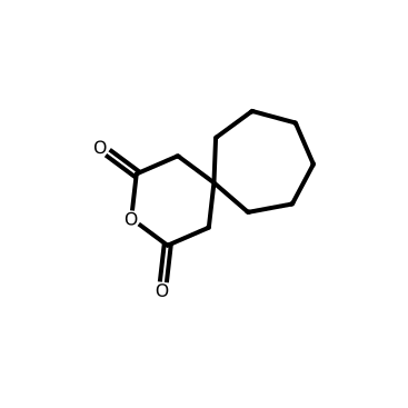 O=C1CC2(CCCCCC2)CC(=O)O1